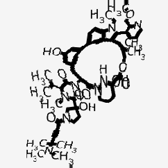 CCn1c(-c2cccnc2COC)c2c3cc(ccc31)-c1cc(O)cc(c1)C[C@H](NC(=O)[C@H](C(C)C)N(C)C(=O)C1(O)CCN(C(=O)C#CC(C)(C)N(C)C)C1)C(=O)N1CCC[C@@](O)(N1)C(=O)OCC(C)(C)C2